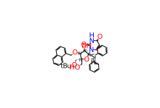 CC(C)(C)OC[C@@]1(CO)O[C@](n2ccc(=O)[nH]c2=O)([SiH](c2ccccc2)c2ccccc2)[C@H](O)[C@@H]1OCc1cccc2ccccc12